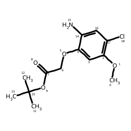 COc1cc(OCC(=O)OC(C)(C)C)c(N)cc1Cl